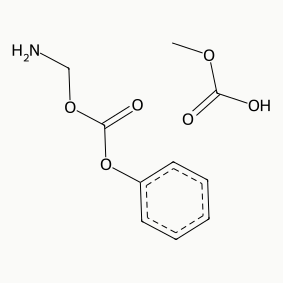 COC(=O)O.NCOC(=O)Oc1ccccc1